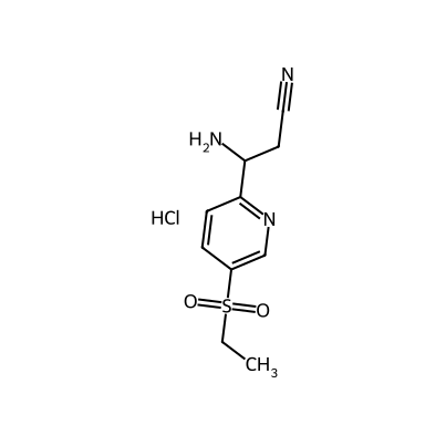 CCS(=O)(=O)c1ccc(C(N)CC#N)nc1.Cl